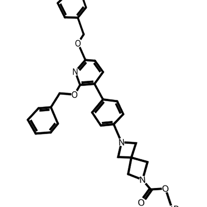 CC(C)(C)OC(=O)N1CC2(C1)CN(c1ccc(-c3ccc(OCc4ccccc4)nc3OCc3ccccc3)cc1)C2